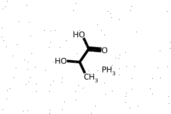 CC(O)C(=O)O.P